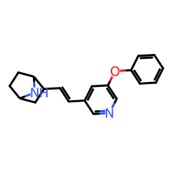 C(=CC1CC2CCC1N2)c1cncc(Oc2ccccc2)c1